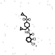 O=C(NCC1(CC2CC2)CCC(S(=O)(=O)CC2CC2)CC1)c1cccc(C(F)(F)F)c1Cl